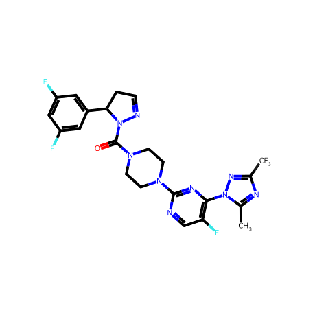 Cc1nc(C(F)(F)F)nn1-c1nc(N2CCN(C(=O)N3N=CCC3c3cc(F)cc(F)c3)CC2)ncc1F